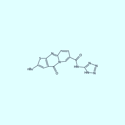 CCCCc1cc2c(=O)n3cc(C(=O)Nc4nnn[nH]4)ccc3nc2s1